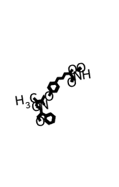 Cc1oc(-c2coc3ccccc23)nc1COc1ccc(CCCC2OC(=O)NC2=O)cc1